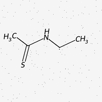 C[CH]NC(C)=S